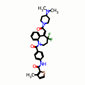 Cc1ccsc1C(=O)Nc1ccc(C(=O)N2CCC(F)(F)/C(=C/C(=O)N3CCC(N(C)C)CC3)c3ccccc32)cc1